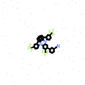 N#Cc1cccc(-c2cc(-n3c4ccccc4c4cc(C(F)(F)F)ccc43)c(-n3c4ccccc4c4cc(C(F)(F)F)ccc43)cc2C(F)(F)F)c1